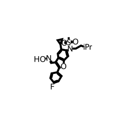 CC(C)CCN(c1cc2oc(-c3ccc(F)cc3)c(C=NO)c2cc1C1CC1)S(C)(=O)=O